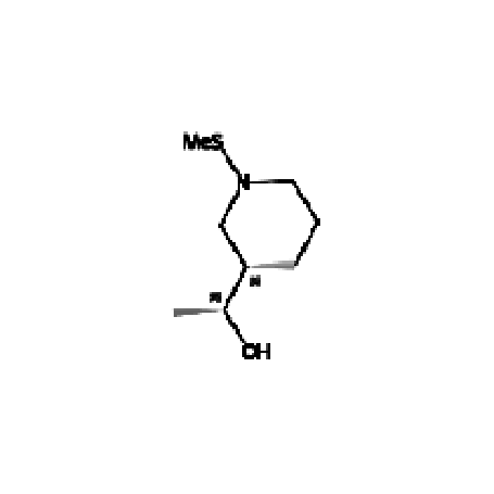 CSN1CCC[C@H]([C@@H](C)O)C1